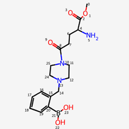 COC(=O)C(N)CCC(=O)N1CCN(Cc2ccccc2B(O)O)CC1